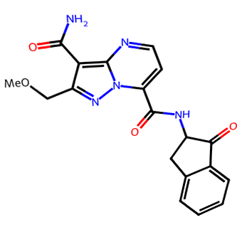 COCc1nn2c(C(=O)NC3Cc4ccccc4C3=O)ccnc2c1C(N)=O